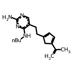 C=C(C)C1=CC=C(CCc2cnc(N)nc2NCCCC)C1